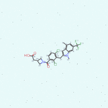 Cc1cc(C(F)(F)F)cc2c1cc(Cc1c(Cl)ccc(C(=O)N3CC(CC(=O)O)C3)c1Cl)n2C